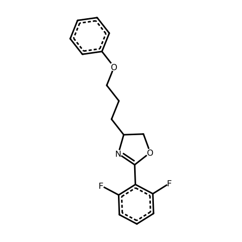 Fc1cccc(F)c1C1=NC(CCCOc2ccccc2)CO1